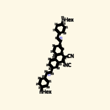 [C-]#[N+]c1c(C#N)c2cc(/C=C/c3ccc(CCCCCC)cc3)ccc2c2ccc(/C=C/c3ccc(CCCCCC)cc3)cc12